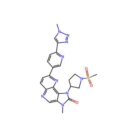 Cn1cc(-c2ccc(-c3ccc4ncc5c(c4n3)n(C3CCN(S(C)(=O)=O)C3)c(=O)n5C)cn2)nn1